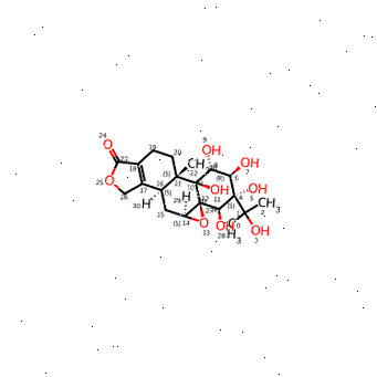 CC(C)(O)[C@]1(O)[C@H](O)[C@@H](O)[C@]2(O)[C@]3(O[C@H]3C[C@H]3C4=C(CC[C@@]32C)C(=O)OC4)[C@@H]1O